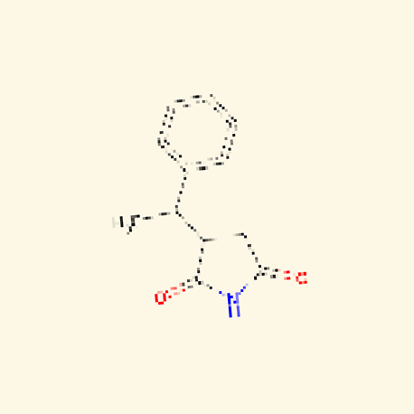 CC(c1ccccc1)C1CC(=O)NC1=O